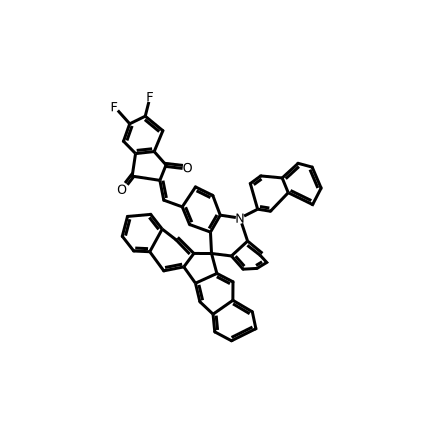 O=C1C(=Cc2ccc3c(c2)C2(c4cc5ccccc5cc4-c4cc5ccccc5cc42)c2ccccc2N3c2ccc3ccccc3c2)C(=O)c2cc(F)c(F)cc21